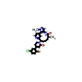 C[C@@H]1CCC[C@H](N2CCC(c3cc(Cl)ccc3Br)=CC2=O)c2cc(ccn2)-c2c(cnn2C)NC1=O